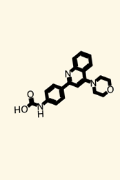 O=C(O)Nc1ccc(-c2cc(N3CCOCC3)c3ccccc3n2)cc1